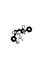 Cc1nn(-c2ccccc2)c(Cl)c1/C=C1/COC(c2cccc(Br)c2)=N1